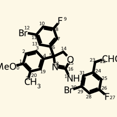 COc1ccc(C2(c3cc(F)cc(Br)c3)COC(N)=N2)cc1C.O=CCc1cc(F)cc(Br)c1